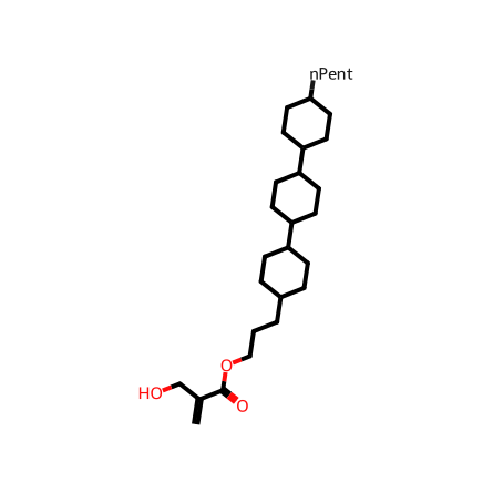 C=C(CO)C(=O)OCCCC1CCC(C2CCC(C3CCC(CCCCC)CC3)CC2)CC1